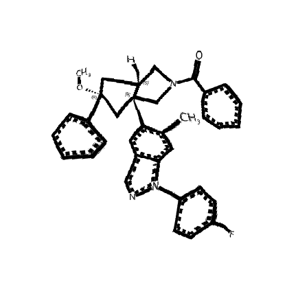 CO[C@]1(c2ccccc2)C[C@@H]2CN(C(=O)c3ccccc3)C[C@]2(c2cc3cnn(-c4ccc(F)cc4)c3cc2C)C1